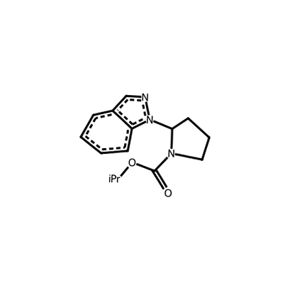 CC(C)OC(=O)N1CCCC1n1ncc2ccccc21